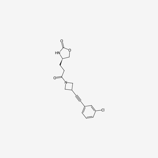 O=C1N[C@H](CCC(=O)N2CC(C#Cc3cccc(Cl)c3)C2)CO1